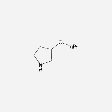 CCCOC1CCNC1